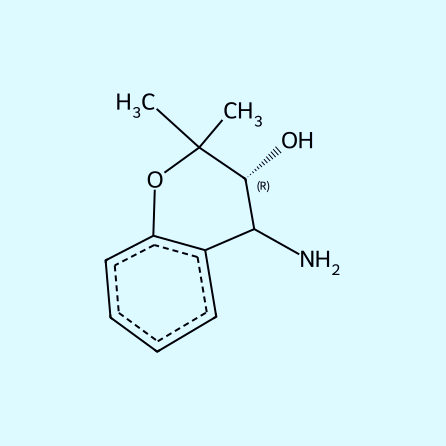 CC1(C)Oc2ccccc2C(N)[C@H]1O